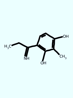 CCC(=N)c1ccc(O)c(C)c1O